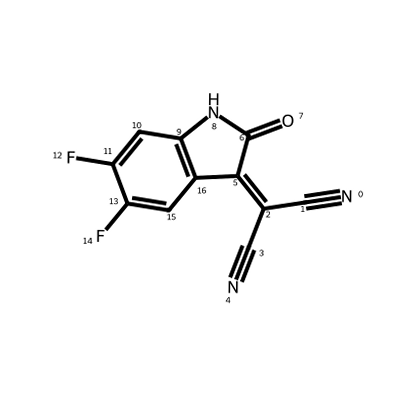 N#CC(C#N)=C1C(=O)Nc2cc(F)c(F)cc21